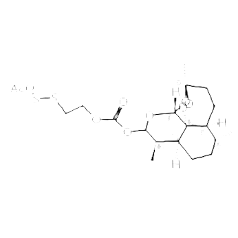 CC(=O)OSSCCOC(=O)OC1O[C@@H]2O[C@]3(C)CC[C@H]4[C@H](C)CC[C@@H]([C@H]1C)[C@@]24OO3